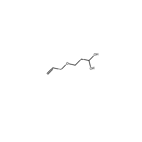 C=CCOCC[C](O)O